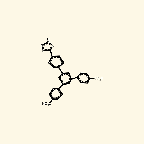 O=C(O)c1ccc(-c2cc(-c3ccc(C(=O)O)cc3)cc(-c3ccc(-c4nn[nH]n4)cc3)c2)cc1